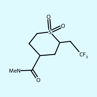 CNC(=O)C1CCS(=O)(=O)C(CC(F)(F)F)C1